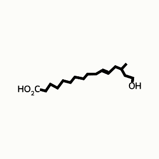 CC(C/C=C/CCCCCCCCCC(=O)O)CCO